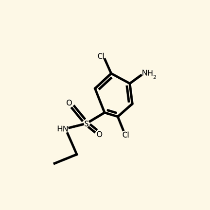 CCNS(=O)(=O)c1cc(Cl)c(N)cc1Cl